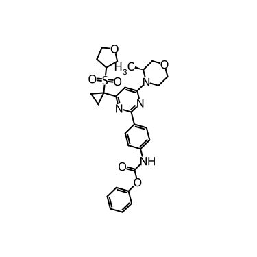 C[C@H]1COCCN1c1cc(C2(S(=O)(=O)C3CCOC3)CC2)nc(-c2ccc(NC(=O)Oc3ccccc3)cc2)n1